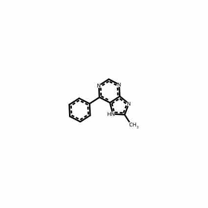 Cc1nc2ncnc(-c3ccccc3)c2[nH]1